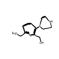 OCc1ccc(N2CCNCC2)c(CO)n1